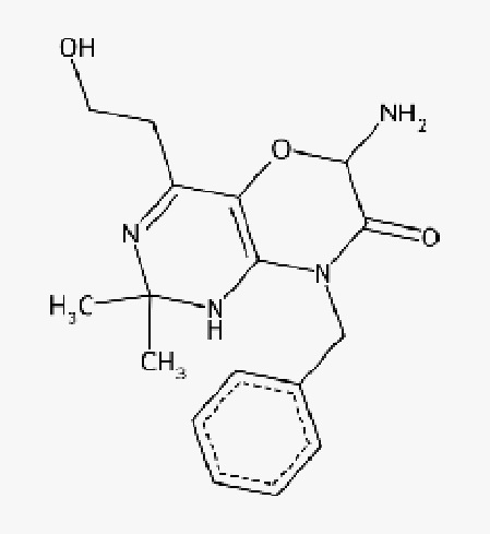 CC1(C)N=C(CCO)C2=C(N1)N(Cc1ccccc1)C(=O)C(N)O2